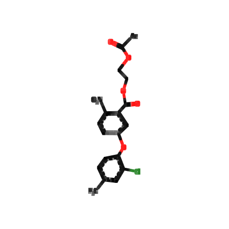 CC(=O)C(=O)OCCOC(=O)c1cc(Oc2ccc(C(F)(F)F)cc2Cl)ccc1[N+](=O)[O-]